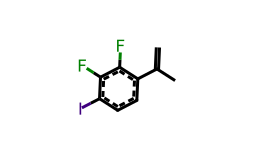 C=C(C)c1ccc(I)c(F)c1F